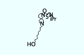 CC(C)c1ncc(C(=O)N2CCCC3(CCN(CCCCCCCCCO)CC3)C2)s1